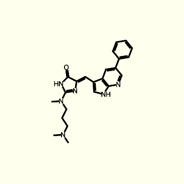 CN(C)CCCN(C)C1=N/C(=C\c2c[nH]c3ncc(-c4ccccc4)cc23)C(=O)N1